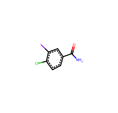 NC(=O)c1ccc(Cl)c(I)c1